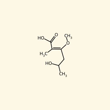 COC(CC(C)O)=C(C)C(=O)O